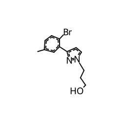 Cc1ccc(Br)c(-c2ccn(CCCO)n2)c1